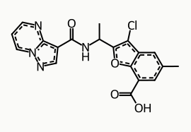 Cc1cc(C(=O)O)c2oc(C(C)NC(=O)c3cnn4cccnc34)c(Cl)c2c1